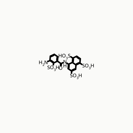 Nc1cccc(C(=O)Nc2cc(S(=O)(=O)O)cc3c(S(=O)(=O)O)ccc(S(=O)(=O)O)c23)c1S(=O)(=O)O